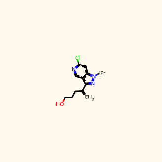 C=C(CCCO)c1nn(C(C)C)c2cc(Cl)ncc12